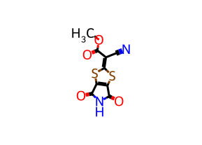 COC(=O)C(C#N)=C1SC2=C(S1)C(=O)NC2=O